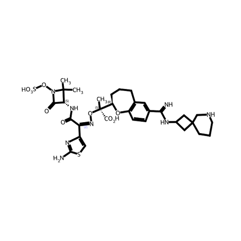 CC1(C)[C@H](NC(=O)/C(=N\O[C@](C)(C(=O)O)[C@H]2CCCc3cc(C(=N)NC4CC5(CCCNC5)C4)ccc3O2)c2csc(N)n2)C(=O)N1OS(=O)(=O)O